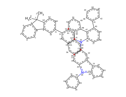 CC1(C)c2ccccc2-c2cc(-c3ccc(N(c4ccc5c(c4)c4ccccc4n5-c4ccccc4)c4cccc(-c5ccccc5)c4-c4ccccc4-c4ccccc4)cc3)ccc21